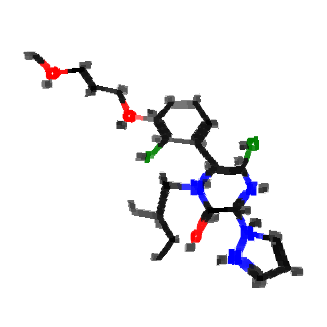 CCC(C)Cn1c(-c2cccc(OCCCOC)c2F)c(Cl)nc(-n2cccn2)c1=O